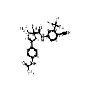 CC(=O)Nc1ccc(C2=NN(C)C(C)(C(=O)Nc3ccc(C#N)c(C(F)(F)F)c3)C2)cc1